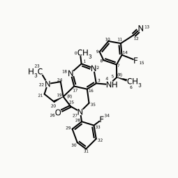 Cc1nc(N[C@H](C)c2cccc(C#N)c2F)c2c(n1)[C@]1(CCN(C)C1)C(=O)N(c1ccccc1F)C2